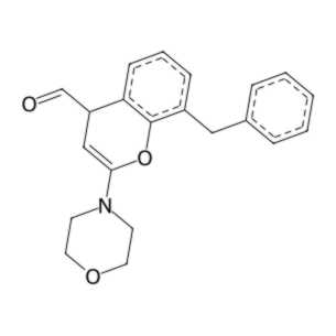 O=CC1C=C(N2CCOCC2)Oc2c(Cc3ccccc3)cccc21